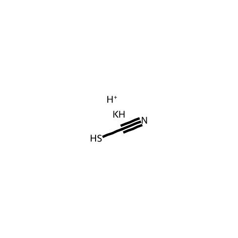 N#CS.[H+].[KH]